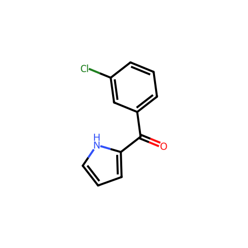 O=C(c1cccc(Cl)c1)c1ccc[nH]1